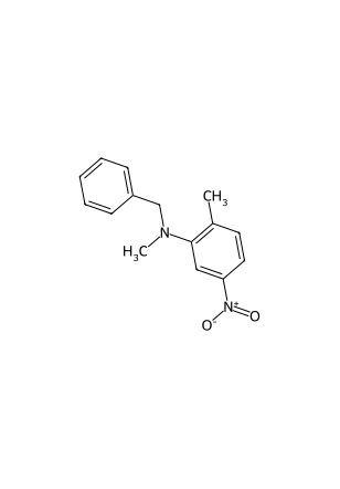 Cc1ccc([N+](=O)[O-])cc1N(C)Cc1ccccc1